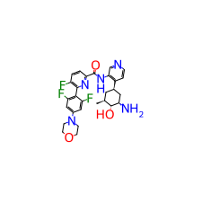 C[C@H]1C[C@@H](c2ccncc2NC(=O)c2ccc(F)c(-c3c(F)cc(N4CCOCC4)cc3F)n2)C[C@@H](N)[C@@H]1O